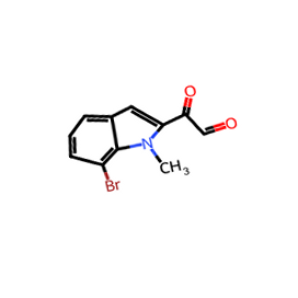 Cn1c(C(=O)C=O)cc2cccc(Br)c21